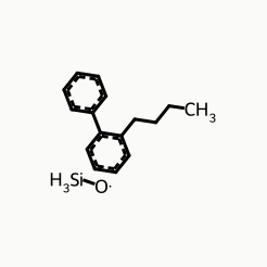 CCCCc1ccccc1-c1ccccc1.[O][SiH3]